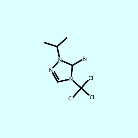 CC(C)N1N=CN(C(Cl)(Cl)Cl)C1Br